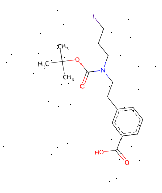 CC(C)(C)OC(=O)N(CCCI)CCc1cccc(C(=O)O)c1